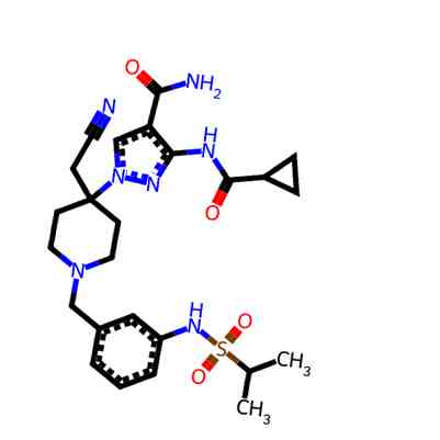 CC(C)S(=O)(=O)Nc1cccc(CN2CCC(CC#N)(n3cc(C(N)=O)c(NC(=O)C4CC4)n3)CC2)c1